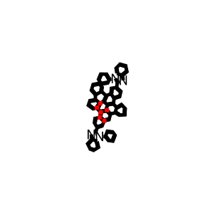 c1ccc(-c2ccccc2-c2c3ccc(-c4nc5ccccc5n4-c4ccccc4)cc3c(-c3ccccc3-c3ccccc3)c3ccc(-c4ccc(-c5nc6ccccc6n5-c5ccccc5)cc4)cc23)cc1